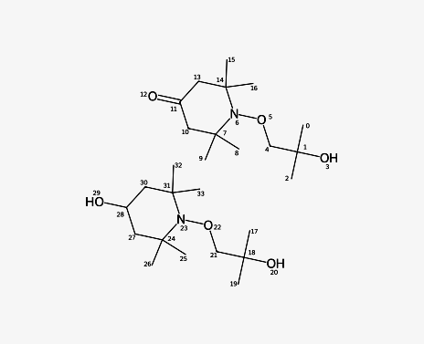 CC(C)(O)CON1C(C)(C)CC(=O)CC1(C)C.CC(C)(O)CON1C(C)(C)CC(O)CC1(C)C